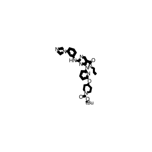 C=CCn1c(=O)c2cnc(Nc3cccc(-n4ccnc4)c3)nc2n1-c1cccc(OC2CCN(C(=O)OC(C)(C)C)CC2)n1